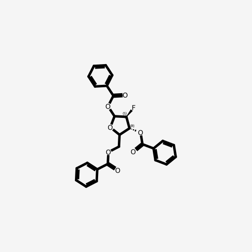 O=C(OCC1OC(OC(=O)c2ccccc2)[C@@H](F)[C@@H]1OC(=O)c1ccccc1)c1ccccc1